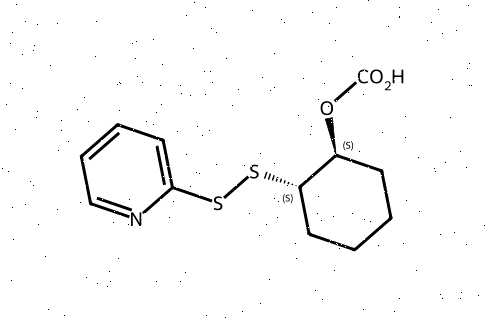 O=C(O)O[C@H]1CCCC[C@@H]1SSc1ccccn1